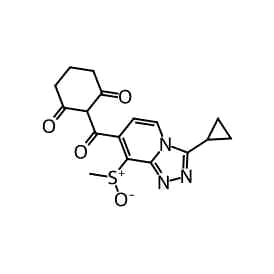 C[S+]([O-])c1c(C(=O)C2C(=O)CCCC2=O)ccn2c(C3CC3)nnc12